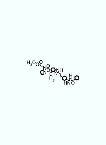 CCOC(=O)CCN(C(=O)Oc1ccc2[nH]c(CCc3ccc(C(=N)NC(=O)c4ccccc4)cc3)nc2c1C)c1ccccn1